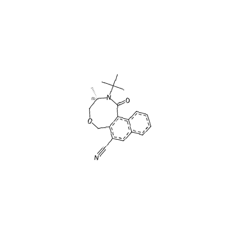 C[C@H]1COCc2c(C#N)cc3ccccc3c2C(=O)N1C(C)(C)C